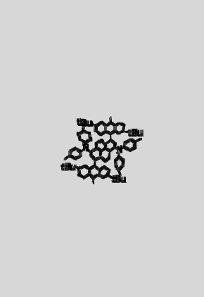 Cc1ccc(N(c2ccc(C)cc2)c2cc(-c3c4ccc(C(C)(C)C)cc4c(C)c4ccc(C(C)(C)C)cc34)c3ccc4c(N(c5ccc(C)cc5)c5ccc(C)cc5)cc(-c5c6ccc(C(C)(C)C)cc6c(C)c6ccc(C(C)(C)C)cc56)c5ccc2c3c54)cc1